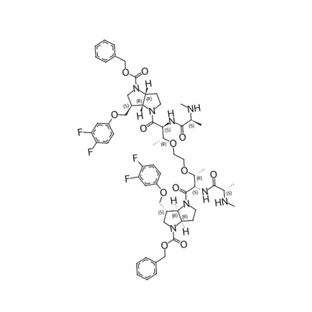 CN[C@@H](C)C(=O)N[C@H](C(=O)N1CC[C@@H]2[C@H]1[C@@H](COc1ccc(F)c(F)c1)CN2C(=O)OCc1ccccc1)[C@@H](C)OCCO[C@H](C)[C@H](NC(=O)[C@H](C)NC)C(=O)N1CC[C@@H]2[C@H]1[C@@H](COc1ccc(F)c(F)c1)CN2C(=O)OCc1ccccc1